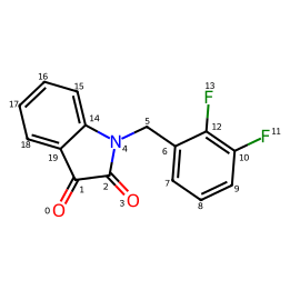 O=C1C(=O)N(Cc2cccc(F)c2F)c2ccccc21